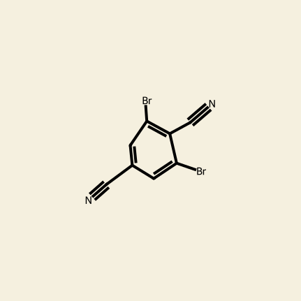 N#Cc1cc(Br)c(C#N)c(Br)c1